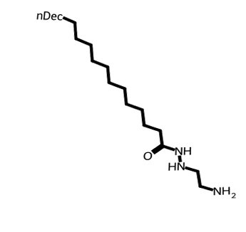 CCCCCCCCCCCCCCCCCCCCCC(=O)NNCCN